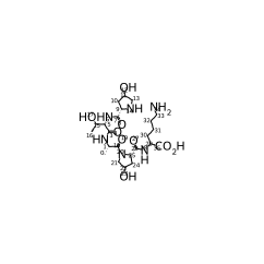 C[C@H](NC(=O)[C@@H](NC(=O)[C@@H]1C[C@@H](O)CN1)[C@@H](C)O)C(=O)N1C[C@H](O)C[C@H]1C(=O)N[C@@H](CCCCN)C(=O)O